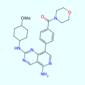 COC1CCC(Nc2ncc3c(N)ncc(-c4ccc(C(=O)N5CCOCC5)cc4)c3n2)CC1